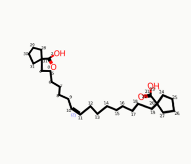 O=C(O)C1(CCCCCC/C=C\CCCCCCCCC2(C(=O)O)CCCC2)CCCC1